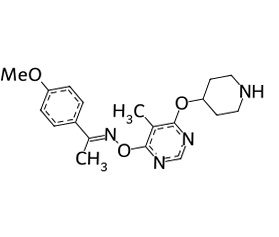 COc1ccc(C(C)=NOc2ncnc(OC3CCNCC3)c2C)cc1